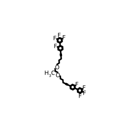 CC(COCCCCC#Cc1ccc(-c2cc(F)c(F)c(F)c2)c(F)c1)COCCCCC#Cc1ccc(-c2cc(F)c(F)c(F)c2)c(F)c1